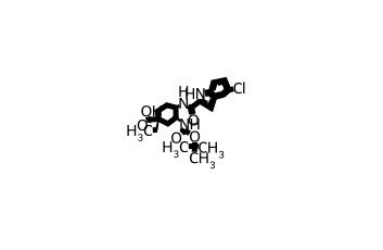 CC[C@@]1(C(=O)O)CC[C@@H](NC(=O)c2cc3cc(Cl)ccc3[nH]2)[C@@H](NC(=O)OC(C)(C)C)C1